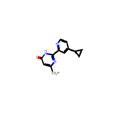 O=C(O)c1cc(=O)[nH]c(-c2cc(C3CC3)ccn2)n1